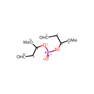 COC(CC=O)O[PH](=O)OC(CC=O)OC